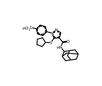 O=C(O)c1ccc(-n2ncc(C(=O)NC3C4CC5CC(C4)CC3C5)c2SC2CCCC2)cc1